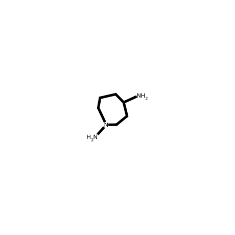 NC1CCCN(N)CC1